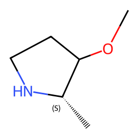 COC1CCN[C@H]1C